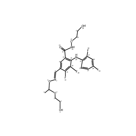 CC(OCCO)O/N=C/c1cc(C(=O)NOCCO)c(Nc2ccc(I)cc2F)c(F)c1F